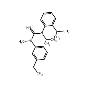 CCc1cccc(N(C)C(=N)N(c2ccccc2C(C)C)C(C)C)c1